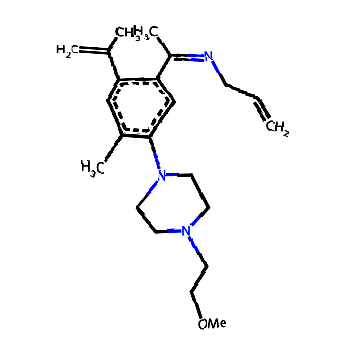 C=CC/N=C(/C)c1cc(N2CCN(CCOC)CC2)c(C)cc1C(=C)C